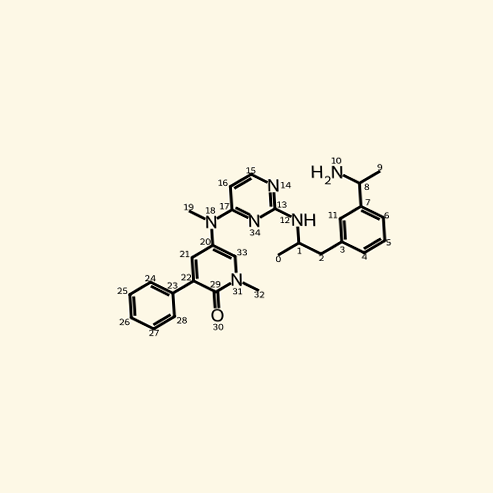 CC(Cc1cccc(C(C)N)c1)Nc1nccc(N(C)c2cc(-c3ccccc3)c(=O)n(C)c2)n1